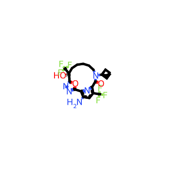 Nc1cc(C(F)(F)F)c2nc1-c1nnc(o1)[C@@](O)(C(F)(F)F)CCCCCN(C13CC(C1)C3)C2=O